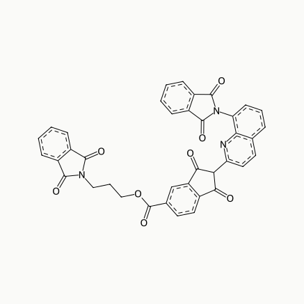 O=C(OCCCN1C(=O)c2ccccc2C1=O)c1ccc2c(c1)C(=O)C(c1ccc3cccc(N4C(=O)c5ccccc5C4=O)c3n1)C2=O